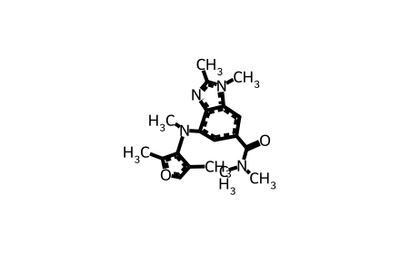 Cc1coc(C)c1N(C)c1cc(C(=O)N(C)C)cc2c1nc(C)n2C